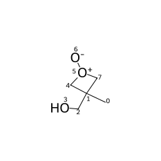 CC1(CO)C[O+]([O-])C1